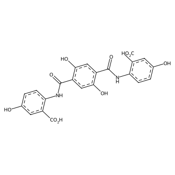 O=C(Nc1ccc(O)cc1C(=O)O)c1cc(O)c(C(=O)Nc2ccc(O)cc2C(=O)O)cc1O